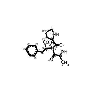 CC(S)C(=O)N(C(=O)C1CSCN1)[C@@H](Cc1ccccc1)C(=O)O